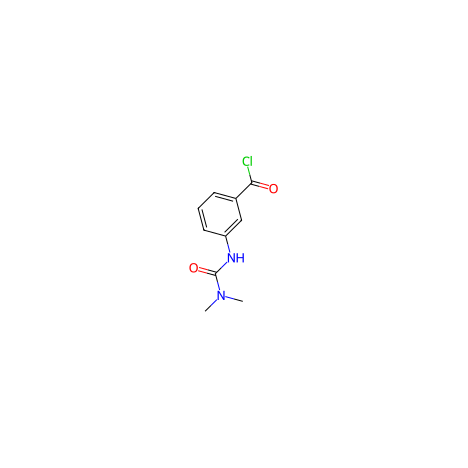 CN(C)C(=O)Nc1cccc(C(=O)Cl)c1